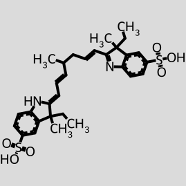 CCC1(C)C(C=CCC(C)C=CC=C2Nc3ccc(S(=O)(=O)O)cc3C2(C)CC)=Nc2ccc(S(=O)(=O)O)cc21